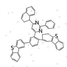 C1=Cc2ccccc2C(c2cc(-c3cc(-c4ccc5sc6ccccc6c5c4)ccc3C3=Cc4c(sc5ccccc45)CC3)nc(-c3ccccc3)n2)C1